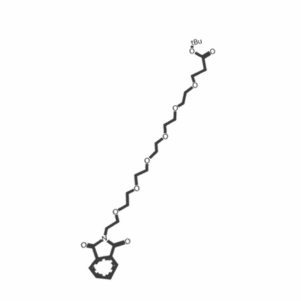 CC(C)(C)OC(=O)CCOCCOCCOCCOCCOCCOCCN1C(=O)c2ccccc2C1=O